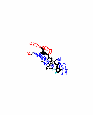 CNc1cc(F)c(F)c2c1[nH]c1ncc(-c3cnc4c(c3)c(=O)c(C(=O)O)cn4NCCOC)c(N3CC[C@H]4CN(C)C[C@H]43)c12